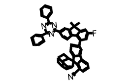 CC1(C)c2cc(-c3nc(-c4ccccc4)nc(-c4ccccc4)n3)ccc2-c2c(-c3ccc4c(c3)-c3cccc(C#N)c3C43C4CC5CC(C4)CC3C5)cc(F)cc21